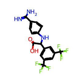 N=C(N)c1ccc(NC(C(=O)O)c2cc(C(F)(F)F)cc(C(F)(F)F)c2)cc1